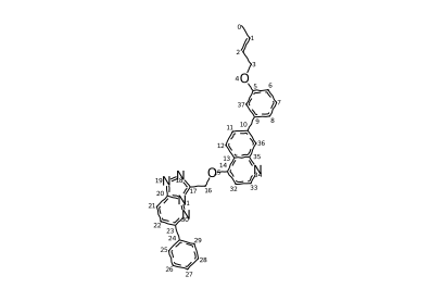 C/C=C/COc1cccc(-c2ccc3c(OCc4nnc5ccc(-c6ccccc6)nn45)ccnc3c2)c1